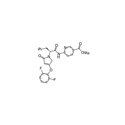 COC(=O)c1ccc(NC(=O)[C@H](CC(C)C)N2CC(Oc3c(F)cccc3F)=CC2=O)nc1